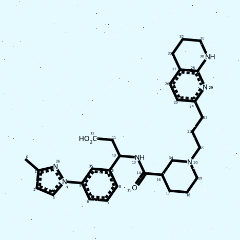 Cc1ccn(-c2cccc(C(CC(=O)O)NC(=O)C3CCCN(CCCc4ccc5c(n4)NCCC5)C3)c2)n1